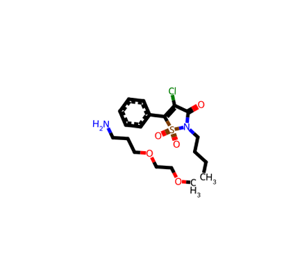 CCCCN1C(=O)C(Cl)=C(c2ccccc2)S1(=O)=O.COCCOCCCN